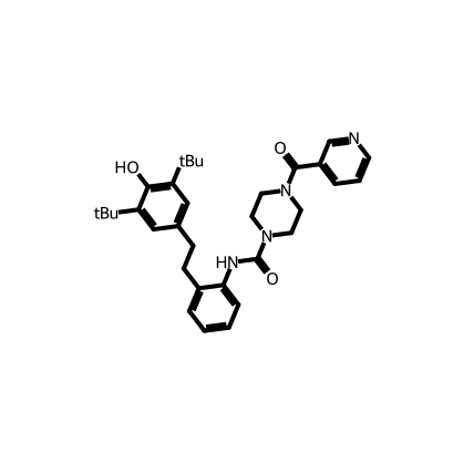 CC(C)(C)c1cc(CCc2ccccc2NC(=O)N2CCN(C(=O)c3cccnc3)CC2)cc(C(C)(C)C)c1O